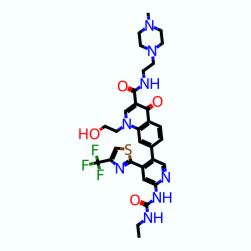 CCNC(=O)Nc1cc(-c2nc(C(F)(F)F)cs2)c(-c2ccc3c(=O)c(C(=O)NCCN4CCN(C)CC4)cn(CCO)c3c2)cn1